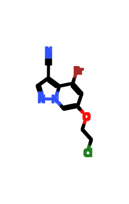 N#Cc1cnn2cc(OCCCl)cc(Br)c12